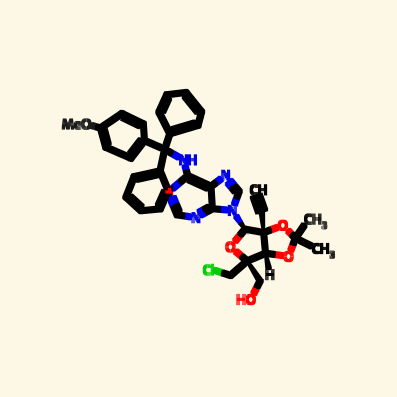 C#C[C@@]12OC(C)(C)O[C@@H]1[C@](CO)(CCl)O[C@H]2n1cnc2c(NC(c3ccccc3)(c3ccccc3)c3ccc(OC)cc3)ncnc21